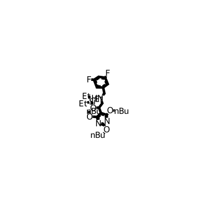 CCCCOc1nc(OCCCC)c(C(CNCc2cc(F)cc(F)c2)O[Si](CC)(CC)CC)c(OCCCC)n1